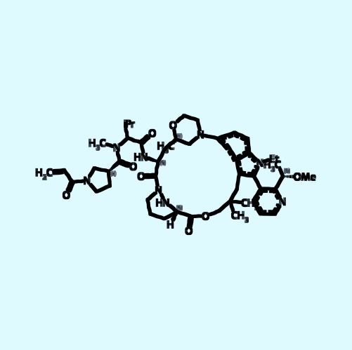 C=CC(=O)N1CC[C@H](C(=O)N(C)C(C(=O)N[C@H]2C[C@@]3(C)CN(CCO3)c3ccc4c(c3)c(c(-c3cccnc3[C@H](C)OC)n4CC)CC(C)(C)COC(=O)[C@@H]3CCCN(N3)C2=O)C(C)C)C1